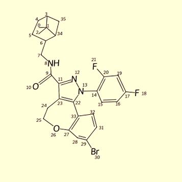 CC1(C)C2CCC(CNC(=O)c3nn(-c4ccc(F)cc4F)c4c3CCOc3cc(Br)ccc3-4)C1C2